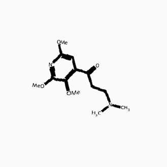 COc1cc(C(=O)CCN(C)C)c(OC)c(OC)n1